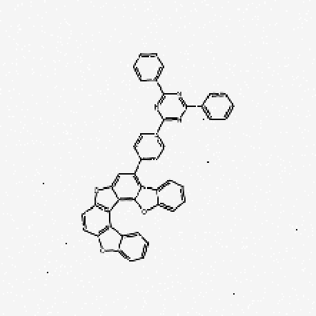 c1ccc(-c2nc(-c3ccccc3)nc(-c3ccc(-c4cc5oc6ccc7oc8ccccc8c7c6c5c5oc6ccccc6c45)cc3)n2)cc1